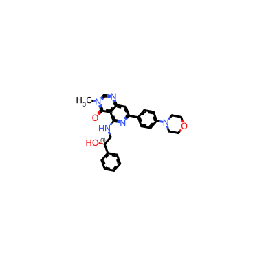 Cn1cnc2cc(-c3ccc(N4CCOCC4)cc3)nc(NC[C@H](O)c3ccccc3)c2c1=O